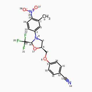 Cc1cc(N2C[C@@H](COc3ccc(C#N)cc3)O[C@H]2C(F)(F)F)ccc1[N+](=O)[O-]